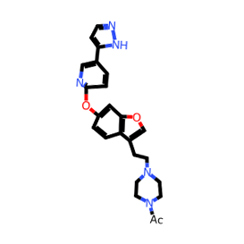 CC(=O)N1CCN(CCc2coc3cc(Oc4ccc(-c5ccn[nH]5)cn4)ccc23)CC1